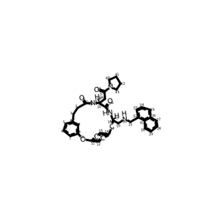 O=C1CCc2cccc(c2)Oc2ccc(cc2)C[C@@H](CNCc2cccc3ccccc23)NC(=O)[C@H](CC(=O)N2CCCC2)N1